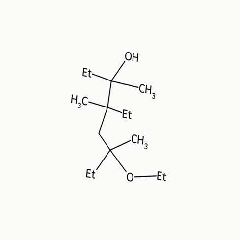 CCOC(C)(CC)CC(C)(CC)C(C)(O)CC